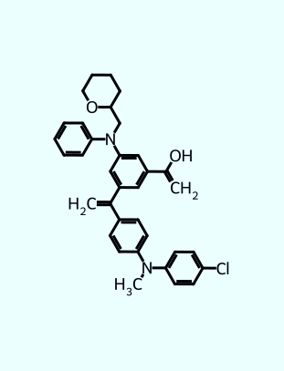 C=C(O)c1cc(C(=C)c2ccc(N(C)c3ccc(Cl)cc3)cc2)cc(N(CC2CCCCO2)c2ccccc2)c1